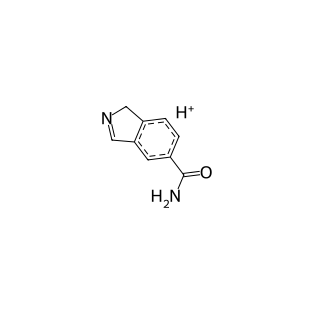 NC(=O)c1ccc2c(c1)C=NC2.[H+]